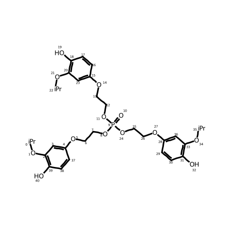 CC(C)Oc1cc(OCCOP(=O)(OCCOc2ccc(O)c(OC(C)C)c2)OCCOc2ccc(O)c(OC(C)C)c2)ccc1O